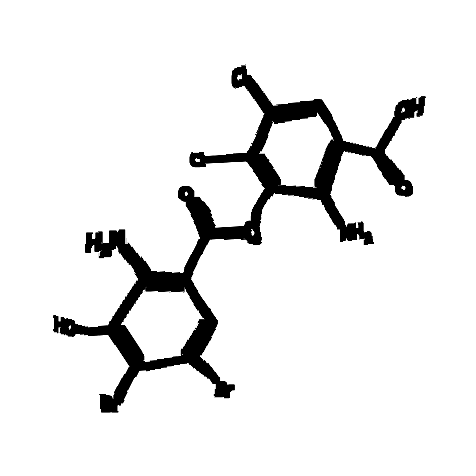 Nc1c(C(=O)Oc2c(N)c(C(=O)O)cc(Cl)c2Cl)cc(Br)c(Br)c1O